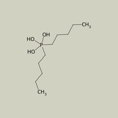 CCCCCP(O)(O)(O)CCCCC